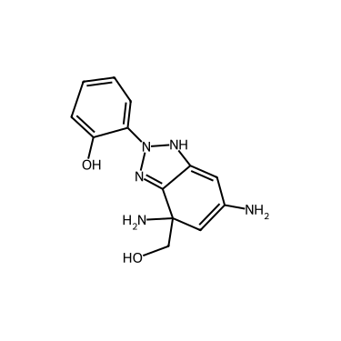 NC1=CC(N)(CO)C2=NN(c3ccccc3O)NC2=C1